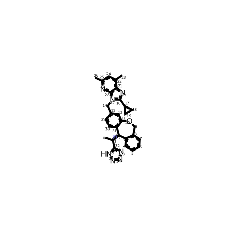 C/C(=C1/c2ccccc2COc2cc(Cn3c(C4CC4)nc4c(C)cc(C)nc43)ccc21)c1nnn[nH]1